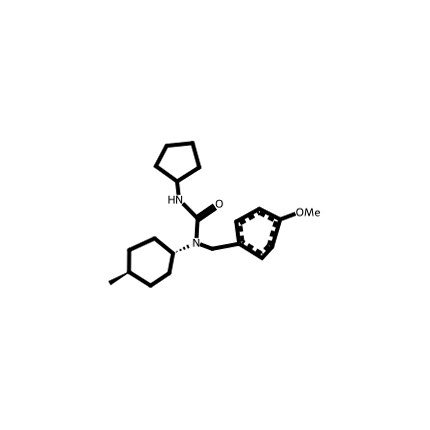 COc1ccc(CN(C(=O)NC2CCCC2)[C@H]2CC[C@H](C)CC2)cc1